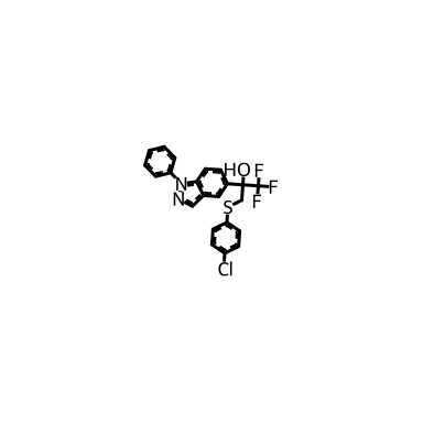 OC(CSc1ccc(Cl)cc1)(c1ccc2c(cnn2-c2ccccc2)c1)C(F)(F)F